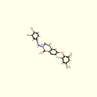 O=C1c2ccc(Oc3c(Cl)cc([N+](=O)[O-])cc3Cl)cc2CCN1Cc1ccc(F)c(F)c1